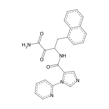 NC(=O)C(=O)C(Cc1cccc2ccccc12)NC(=O)c1cncn1-c1ccccn1